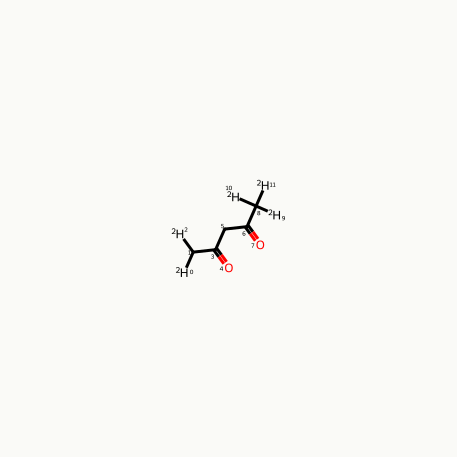 [2H]C([2H])C(=O)CC(=O)C([2H])([2H])[2H]